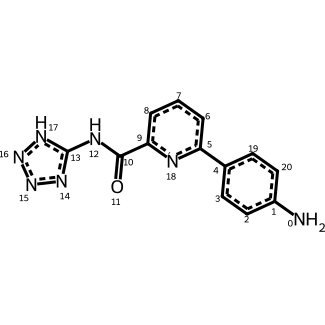 Nc1ccc(-c2cccc(C(=O)Nc3nnn[nH]3)n2)cc1